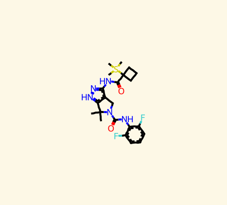 CC1(C)c2[nH]nc(NC(=O)C3(S(C)(C)C)CCC3)c2CN1C(=O)Nc1c(F)cccc1F